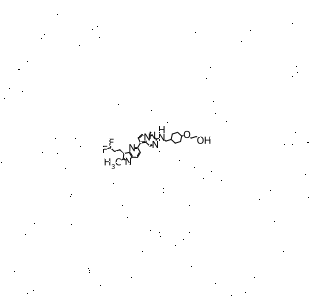 CC1=Nc2ccc(-c3ccn4nc(NCC5CCC(OCCO)CC5)ncc34)nc2[C@@H]1CCC(F)F